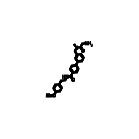 COc1ccc(CCNC(=O)c2ccc(-c3cccc(CN(C)C(=O)CN)c3)cc2)cc1